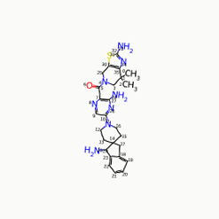 CC1(C)CN(C(=O)c2ncc(N3CCC4(CC3)Cc3ccccc3C4N)nc2N)Cc2sc(N)nc21